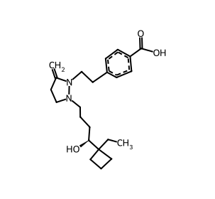 C=C1CCN(CCC[C@H](O)C2(CC)CCC2)N1CCc1ccc(C(=O)O)cc1